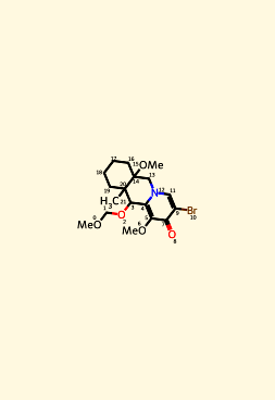 COCOC1c2c(OC)c(=O)c(Br)cn2CC2(OC)CCCCC12C